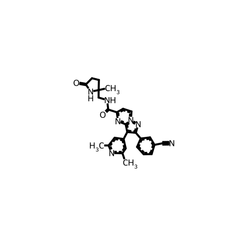 Cc1cc(-c2c(-c3cccc(C#N)c3)nn3ccc(C(=O)NCC4(C)CCC(=O)N4)nc23)cc(C)n1